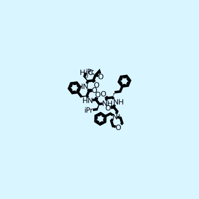 CC(C)C[C@H](NC(=O)[C@H](CCc1ccccc1)NC(=O)C[N+]1(Cc2ccccc2)CCOCC1)C(=O)N[C@@H](Cc1ccccc1)C(=O)N[C@@H](CC(C)C)C(=O)[C@@]1(C)CO1